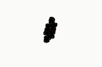 c1sc2c(c1-c1sc3c(c1-c1sc4c(c1-c1sc5c(c1-c1sc6c(c1-c1c(-c7c(-c8c(-c9csc%10c9OCO%10)sc9c8OCO9)sc8c7OCO8)sc7c1OCO7)OCO6)OCO5)OCO4)OCO3)OCO2